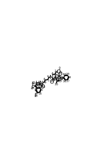 COCC(CN(CCCCNS(=O)(=O)c1ccc(F)cc1C(F)(F)F)C(=O)NC(C)C)OC(=O)Nc1ccccc1